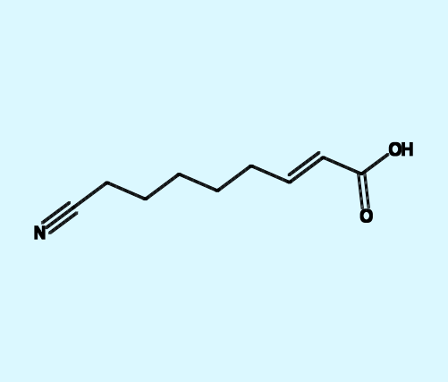 N#CCCCCCC=CC(=O)O